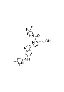 Cc1ccc(Nc2ccc3c(c2)ncn3-c2ccc(CCO)c(C(=O)NCC(F)(F)F)n2)nn1